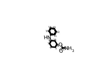 NC(=O)O[C@@H]1CCC[C@H](Nc2ccccc2)C1